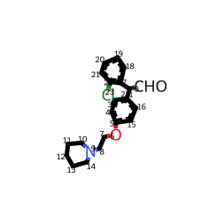 O=CC(c1ccc(OCCN2CCCCC2)cc1)c1ccccc1Cl